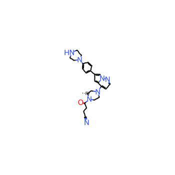 C[C@@H]1CN(c2ccnn3cc(-c4ccc(N5CCNCC5)cc4)cc23)CCN1C(=O)CCC#N